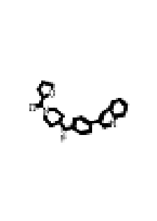 O=C(C1CCCO1)N1CCC([C@@H](F)c2ccc(-c3cnc4ccccc4c3)cc2)CC1